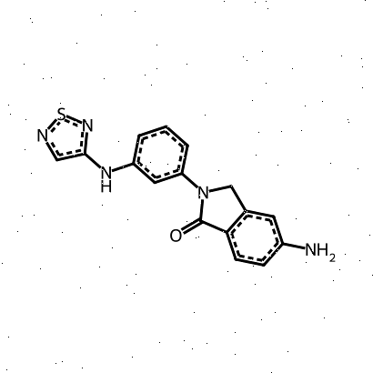 Nc1ccc2c(c1)CN(c1cccc(Nc3cnsn3)c1)C2=O